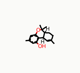 CC1=C[C@H]2c3c(O)cc(C)cc3OC(C)(C)[C@@H]2CC1